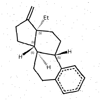 C=C1CC[C@H]2[C@@H]3CCc4c[c]ccc4[C@H]3CC[C@]12CC